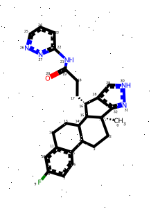 C[C@]12CCC3c4ccc(F)cc4CCC3C1[C@H](CCC(=O)Nc1cccnn1)c1c[nH]nc12